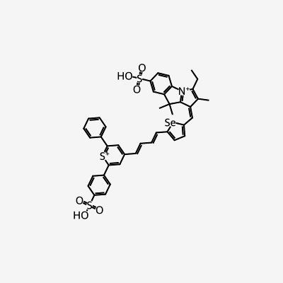 CCC1=C(C)C(=Cc2ccc(C=CC=Cc3cc(-c4ccccc4)[s+]c(-c4ccc(S(=O)(=O)O)cc4)c3)[se]2)C2=[N+]1c1ccc(S(=O)(=O)O)cc1C2(C)C